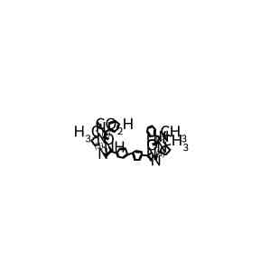 CN(C)[C@H](C(=O)N1CCC[C@H]1c1ncc(-c2ccc(-c3ccc(-c4cnc([C@@H]5CCCN5C(=O)[C@@H](c5ccccc5)N(C)C(=O)O)[nH]4)cc3)cc2)[nH]1)c1ccccc1